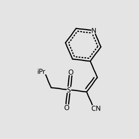 CC(C)CS(=O)(=O)C(C#N)=Cc1cccnc1